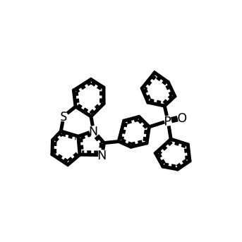 O=P(c1ccccc1)(c1ccccc1)c1ccc(-c2nc3cccc4c3n2-c2ccccc2S4)cc1